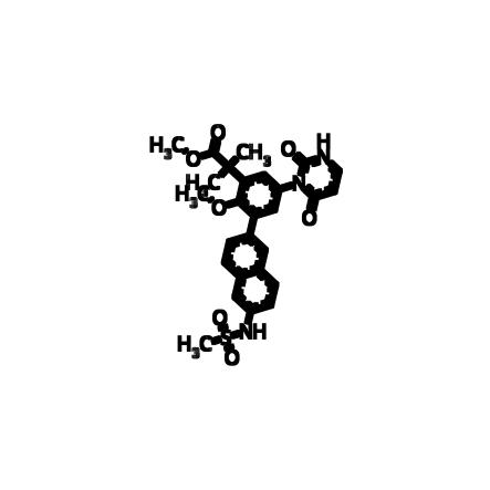 COC(=O)C(C)(C)c1cc(-n2c(=O)cc[nH]c2=O)cc(-c2ccc3cc(NS(C)(=O)=O)ccc3c2)c1OC